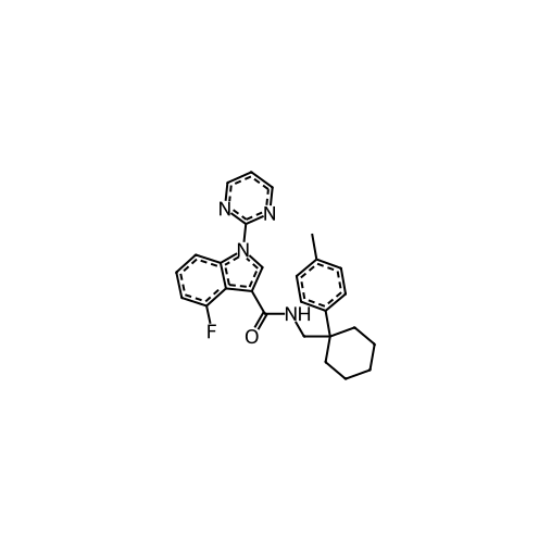 Cc1ccc(C2(CNC(=O)c3cn(-c4ncccn4)c4cccc(F)c34)CCCCC2)cc1